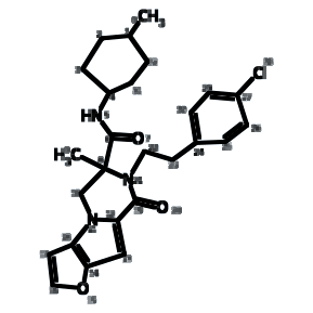 CC1CCC(NC(=O)C2(C)Cn3c(cc4occc43)C(=O)N2CCc2ccc(Cl)cc2)CC1